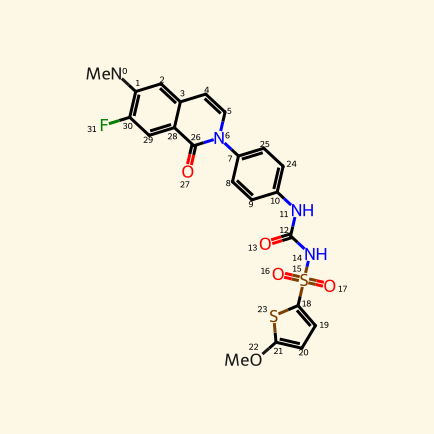 CNc1cc2ccn(-c3ccc(NC(=O)NS(=O)(=O)c4ccc(OC)s4)cc3)c(=O)c2cc1F